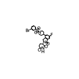 O=C1CCC(N2Cc3c(cc(F)cc3C3CCN(S(=O)(=O)c4cccc(Br)c4)CC3)C2=O)C(=O)N1